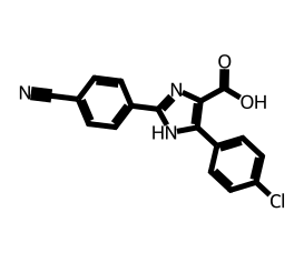 N#Cc1ccc(-c2nc(C(=O)O)c(-c3ccc(Cl)cc3)[nH]2)cc1